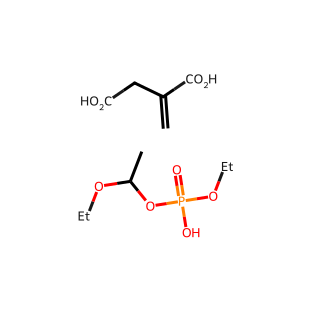 C=C(CC(=O)O)C(=O)O.CCOC(C)OP(=O)(O)OCC